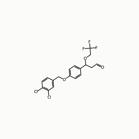 O=CCC(OCC(F)(F)F)c1ccc(OCc2ccc(Cl)c(Cl)c2)cc1